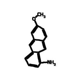 COc1ccc2cc3c(N)cccc3cc2c1